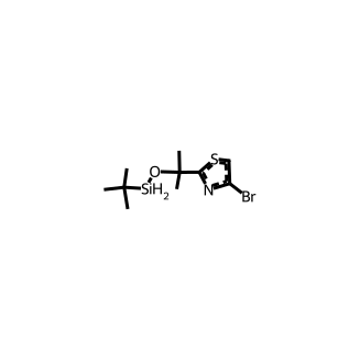 CC(C)(C)[SiH2]OC(C)(C)c1nc(Br)cs1